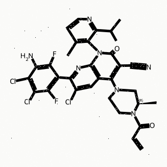 C=CC(=O)N1CCN(c2c(C#N)c(=O)n(-c3c(C)ccnc3C(C)C)c3nc(-c4c(F)c(N)c(Cl)c(Cl)c4F)c(Cl)cc23)C[C@H]1C